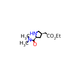 CCOC(=O)C[C@@H]1CN[C@H](C(=O)N(C)C)C1